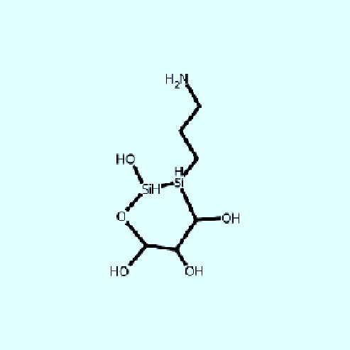 NCCC[SiH]1C(O)C(O)C(O)O[SiH]1O